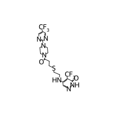 O=C(CCSCCNc1cn[nH]c(=O)c1C(F)(F)F)N1CCN(c2ncc(C(F)(F)F)cn2)CC1